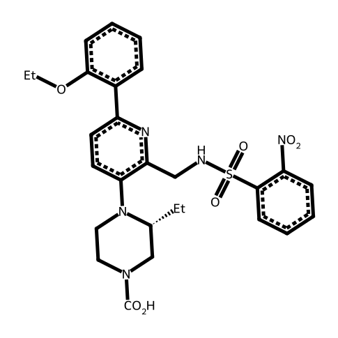 CCOc1ccccc1-c1ccc(N2CCN(C(=O)O)C[C@H]2CC)c(CNS(=O)(=O)c2ccccc2[N+](=O)[O-])n1